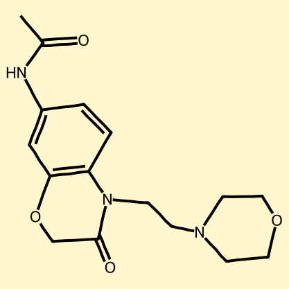 CC(=O)Nc1ccc2c(c1)OCC(=O)N2CCN1CCOCC1